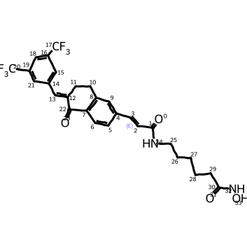 O=C(/C=C/c1ccc2c(c1)CCC(=Cc1cc(C(F)(F)F)cc(C(F)(F)F)c1)C2=O)NCCCCCC(=O)NO